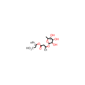 CCC[C@@H](CC(=O)O)OC(=O)C[C@H](CC)O[C@@H]1OC(C)[C@H](O)[C@H](O)C1O